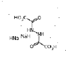 O=C(O)C(=O)NNC(=O)C(=O)O.[NaH].[NaH]